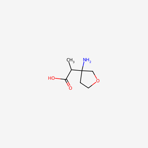 CC(C(=O)O)C1(N)CCOC1